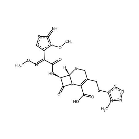 CON=C(C(=O)N[C@@H]1C(=O)N2C(C(=O)O)=C(CSc3nnnn3C)CS[C@@H]12)c1csc(=N)n1OC